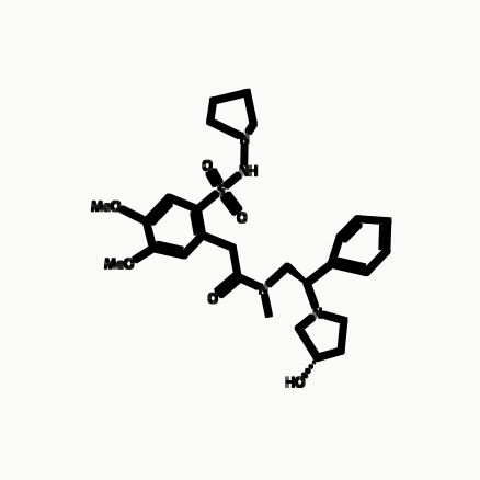 COc1cc(CC(=O)N(C)C[C@@H](c2ccccc2)N2CC[C@H](O)C2)c(S(=O)(=O)NN2CCCC2)cc1OC